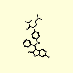 CC(C)C(=O)N(CCN(C)C)c1ccc(N/C(=C2/C(=O)Nc3cc(F)ccc32)c2ccccc2)cc1